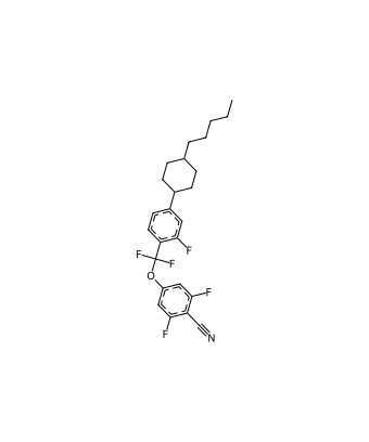 CCCCCC1CCC(c2ccc(C(F)(F)Oc3cc(F)c(C#N)c(F)c3)c(F)c2)CC1